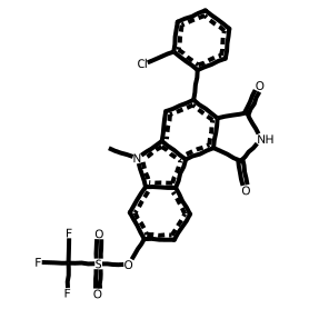 Cn1c2cc(OS(=O)(=O)C(F)(F)F)ccc2c2c3c(c(-c4ccccc4Cl)cc21)C(=O)NC3=O